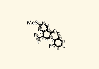 CSc1ncc2c(=O)n(-c3c(F)cccc3F)cc(C(F)F)c2n1